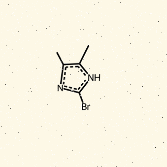 Cc1nc(Br)[nH]c1C